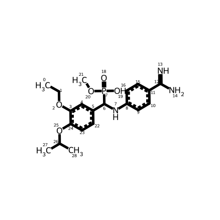 CCOc1cc(C(Nc2ccc(C(=N)N)cc2)P(=O)(O)OC)ccc1OC(C)C